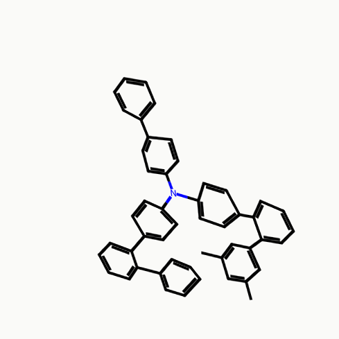 Cc1cc(C)cc(-c2ccccc2-c2ccc(N(c3ccc(-c4ccccc4)cc3)c3ccc(-c4ccccc4-c4ccccc4)cc3)cc2)c1